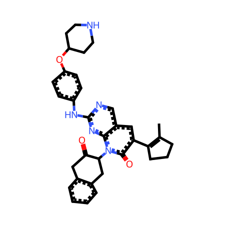 CC1=C(c2cc3cnc(Nc4ccc(OC5CCNCC5)cc4)nc3n(C3Cc4ccccc4CC3=O)c2=O)CCC1